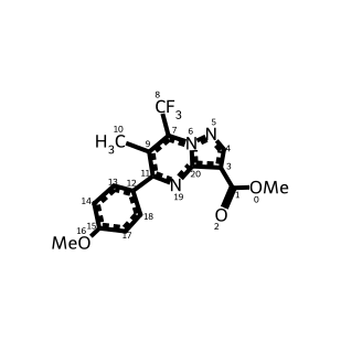 COC(=O)c1cnn2c(C(F)(F)F)c(C)c(-c3ccc(OC)cc3)nc12